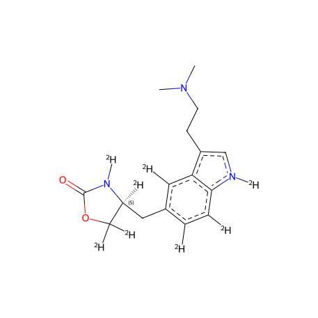 [2H]c1c(C[C@]2([2H])N([2H])C(=O)OC2([2H])[2H])c([2H])c2c(CCN(C)C)cn([2H])c2c1[2H]